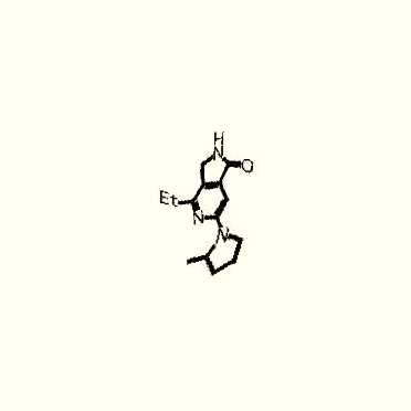 CCc1nc(N2CCCC2C)cc2c1CNC2=O